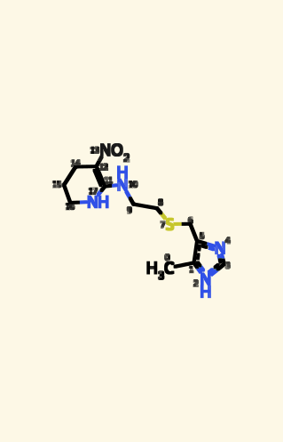 Cc1[nH]cnc1CSCCNC1=C([N+](=O)[O-])CCCN1